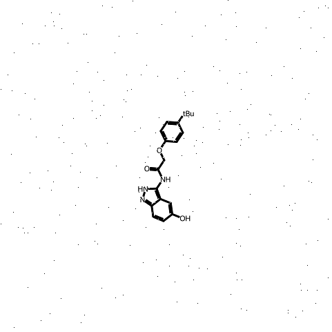 CC(C)(C)c1ccc(OCC(=O)Nc2[nH]nc3ccc(O)cc23)cc1